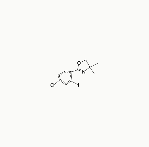 CC1(C)COC(c2ccc(Cl)cc2I)=N1